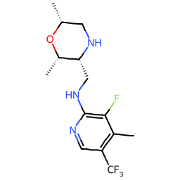 Cc1c(C(F)(F)F)cnc(NC[C@H]2NC[C@@H](C)O[C@H]2C)c1F